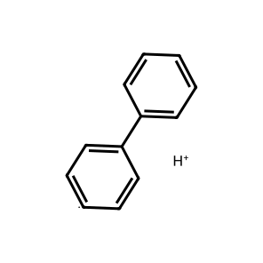 [H+].[c]1ccc(-c2ccccc2)cc1